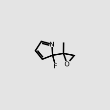 CC1(C2(F)C=CC=N2)CO1